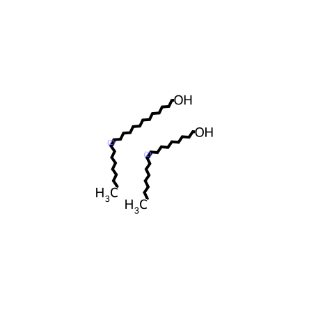 CCCCCCCC/C=C\CCCCCCCCCCCCO.CCCCCCCC/C=C\CCCCCCCCO